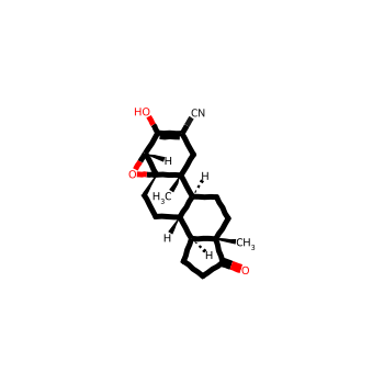 C[C@]12CC[C@H]3[C@@H](CC[C@@]45O[C@@H]4C(O)=C(C#N)C[C@]35C)[C@@H]1CCC2=O